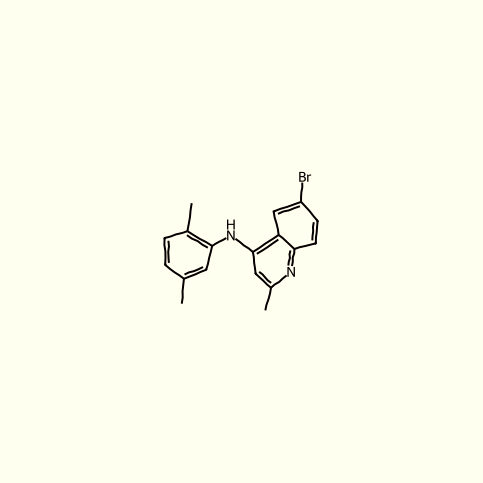 Cc1ccc(C)c(Nc2cc(C)nc3ccc(Br)cc23)c1